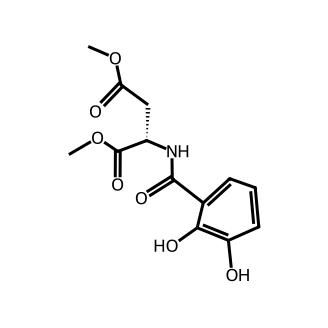 COC(=O)C[C@H](NC(=O)c1cccc(O)c1O)C(=O)OC